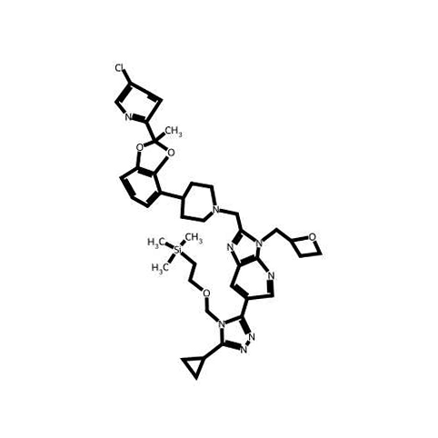 CC1(c2ccc(Cl)cn2)Oc2cccc(C3CCN(Cc4nc5cc(-c6nnc(C7CC7)n6COCC[Si](C)(C)C)cnc5n4CC4CCO4)CC3)c2O1